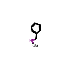 CC(C)(C)P[C]c1ccccc1